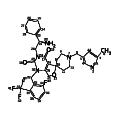 Cc1cncc(CN2CCC3(CC2)OCc2c3c(=O)n(C[C@H](N)c3ccccc3)c(=O)n2Cc2c(F)cccc2C(F)(F)F)c1